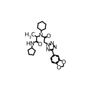 CC(C(=O)NC1CCCC1)N(C(=O)Cn1nnc(-c2ccc3c(c2)OCO3)n1)C1CCCCC1